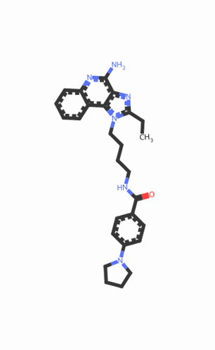 CCc1nc2c(N)nc3ccccc3c2n1CCCCNC(=O)c1ccc(N2CCCC2)cc1